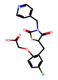 O=C(O)COc1ccc(Br)cc1CC1SC(=O)N(Cc2ccncc2)C1=O